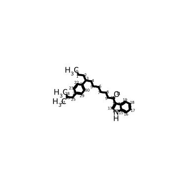 CCCC(CCCCCCC(=O)c1c[nH]c2ccccc12)c1ccc(CC(C)C)cc1